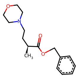 C[C@@H](CCN1CCOCC1)C(=O)OCc1ccccc1